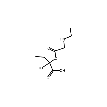 CCNCC(=O)OC(O)(CC)C(=O)O